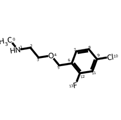 CNCCOCc1ccc(Cl)cc1F